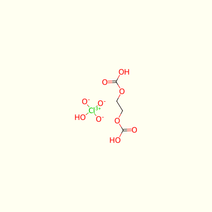 O=C(O)OCCOC(=O)O.[O-][Cl+3]([O-])([O-])O